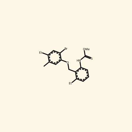 CCc1cc(Br)c(OCc2c(CC)cccc2NC(=S)OC)cc1C